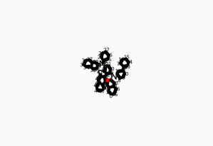 C1=CC2C=CC(N(c3cccc(-c4ccccc4)c3)c3ccc(N(c4ccccc4)c4ccc5ccccc5c4)c4sc5cc6ccccc6cc5c34)=CC2C=C1